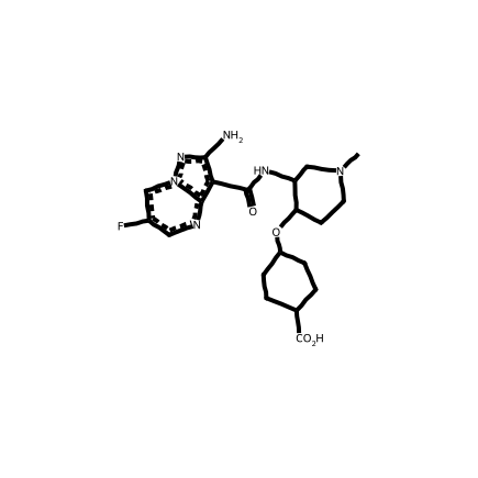 CN1CCC(OC2CCC(C(=O)O)CC2)C(NC(=O)c2c(N)nn3cc(F)cnc23)C1